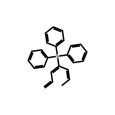 C=C/C=C(\C=C/C)[Si](c1ccccc1)(c1ccccc1)c1ccccc1